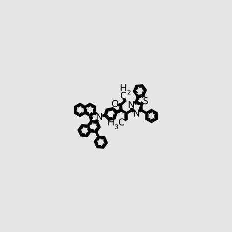 C=Cc1oc2cc(-n3c4ccc5ccccc5c4c4c5ccccc5c(-c5ccccc5)cc43)ccc2c1/C(=C\C)c1nc(-c2ccccc2)c2sc3ccccc3c2n1